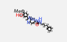 COc1ccc(-c2cnc3ccc(NC(=O)NCCCCC4=CCCC=C4)nc3n2)cc1O